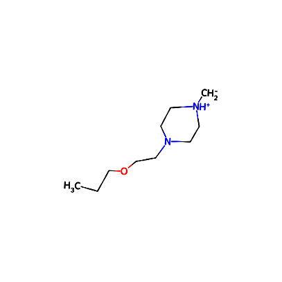 [CH2-][NH+]1CCN(CCOCCC)CC1